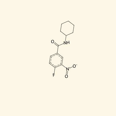 O=C(NC1CCCCC1)c1ccc(F)c([N+](=O)[O-])c1